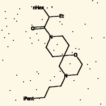 CCCCCCC(CC)C(=O)N1CCC2(CC1)CN(CCCC(C)CCC)CCO2